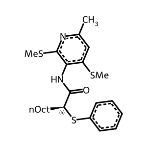 CCCCCCCC[C@H](Sc1ccccc1)C(=O)Nc1c(SC)cc(C)nc1SC